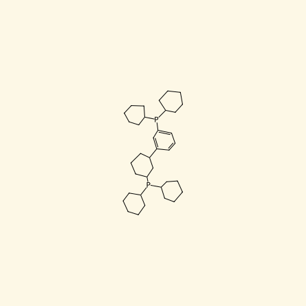 c1cc(C2CCCC(P(C3CCCCC3)C3CCCCC3)C2)cc(P(C2CCCCC2)C2CCCCC2)c1